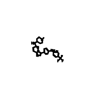 CN1CCC(Nc2ccc3ncc(-c4ccc(Nc5ccc(C(F)(F)F)cn5)cc4)n3n2)CC1